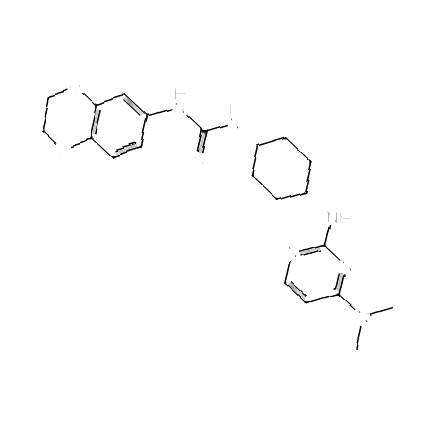 CN(C)c1ccnc(N[C@H]2CC[C@@H](NC(=S)Nc3ccc4c(c3)OCCO4)CC2)n1